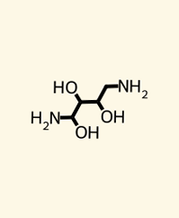 NCC(O)C(O)C(N)O